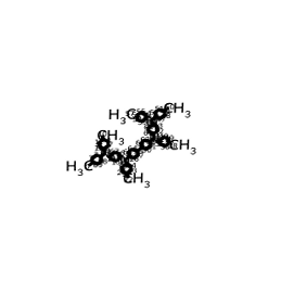 Cc1ccc(N(C2=CCC(C)C=C2)c2ccc(N(c3ccc(C)cc3)c3ccc(-c4ccc(N(c5ccc(C)cc5)c5ccc(N(c6ccc(C)cc6)c6ccc(C)cc6)cc5)cc4)cc3)cc2)cc1